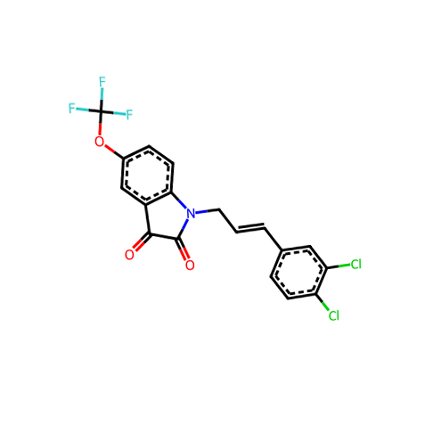 O=C1C(=O)N(CC=Cc2ccc(Cl)c(Cl)c2)c2ccc(OC(F)(F)F)cc21